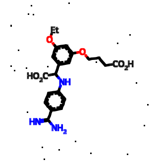 CCOc1cc(OCCCC(=O)O)cc(C(Nc2ccc(C(=N)N)cc2)C(=O)O)c1